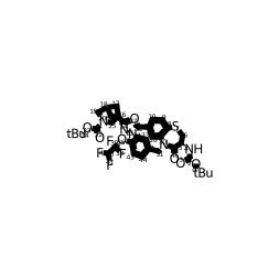 CC(C)(C)OC(=O)N[C@H]1CSc2ccc(-c3nnc(C45CC(CN(C(=O)OC(C)(C)C)C4)C5)o3)cc2N(Cc2ccc(OC(F)(F)C(F)F)cc2)C1=O